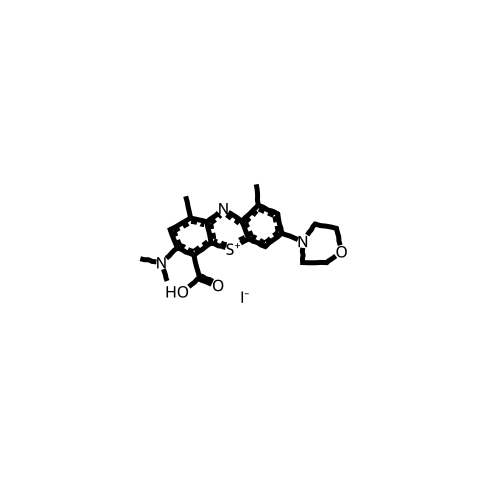 Cc1cc(N2CCOCC2)cc2[s+]c3c(C(=O)O)c(N(C)C)cc(C)c3nc12.[I-]